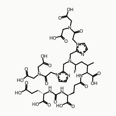 CC(CC(F)N(Cc1nccn1CC(=O)N(CC(=O)O)CC(=O)O)Cc1nccn1CC(=O)N(CC(=O)O)CC(=O)O)C(NC(=O)CC[C@H](NC(=O)N[C@@H](CCC(=O)O)C(=O)O)C(=O)O)C(=O)O